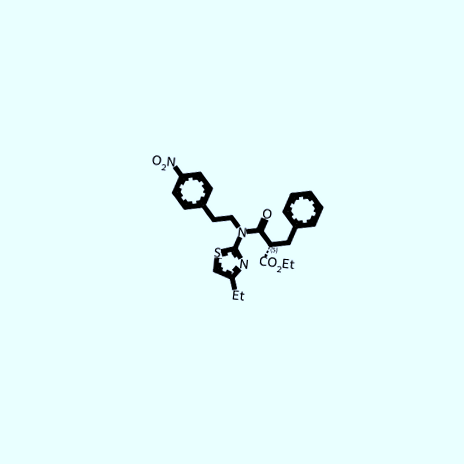 CCOC(=O)[C@@H](Cc1ccccc1)C(=O)N(CCc1ccc([N+](=O)[O-])cc1)c1nc(CC)cs1